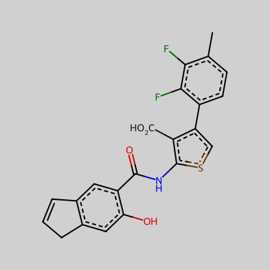 Cc1ccc(-c2csc(NC(=O)c3cc4c(cc3O)CC=C4)c2C(=O)O)c(F)c1F